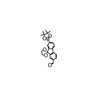 CC1(C)OB(c2ccc3c(c2)C2(OCCO2)c2cc(C=O)ccc2-3)OC1(C)C